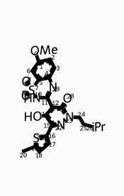 COc1ccc2c(c1)S(=O)(=O)NC(c1c(O)c(-c3ccc(C)s3)nn(CCC(C)C)c1=O)=N2